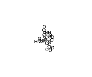 COC(=O)[C@H]1[C@H]2C[C@@H]3c4[nH]c5cc(OC)ccc5c4CCN3C[C@H]2C[C@@H](OC(=O)c2cc(OC)c(OC)c(OC)c2)[C@@H]1OC.O=C1NCCN1